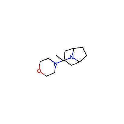 CCN1C2CCC1CC(N1CCOCC1)C2